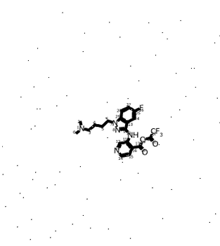 CN(C)CCCCn1nc(Nc2cnccc2C(=O)OC(=O)C(F)(F)F)c2cc(F)ccc21